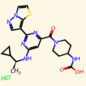 C[C@H](Nc1cc(C(=O)N2CCC(NC(=O)O)CC2)nc(-c2cnn3ccsc23)n1)C1CC1.Cl